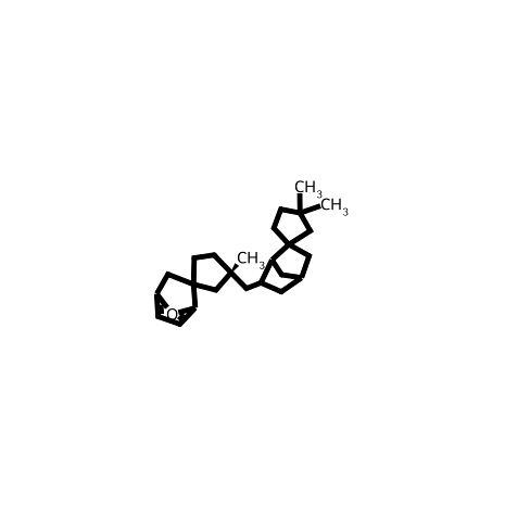 CC1(C)CCC2(CC3CC(C[C@@]4(C)CCC5(Cc6ccc5o6)C4)C2C3)C1